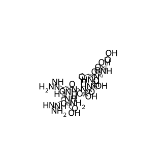 C[C@H](NC(=O)[C@H](Cc1ccccc1)NC(=O)[C@@H](NC(=O)[C@@H](NC(=O)CNC(=O)[C@H](CCCNC(=N)N)NC(=O)[C@H](CCCNC(=N)N)NC(=O)[C@@H](N)CC(=O)O)[C@@H](C)O)[C@@H](C)O)C(=O)N[C@@H](Cc1ccc(O)cc1)C(=O)O